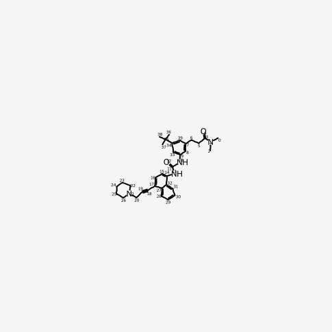 CN(C)C(=O)CCc1cc(NC(=O)Nc2ccc(C#CCN3CCCCC3)c3ccccc23)cc(C(C)(C)C)c1